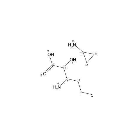 CCCC(N)C(O)C(=O)O.NC1CC1